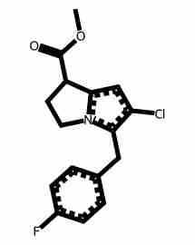 COC(=O)C1CCn2c1cc(Cl)c2Cc1ccc(F)cc1